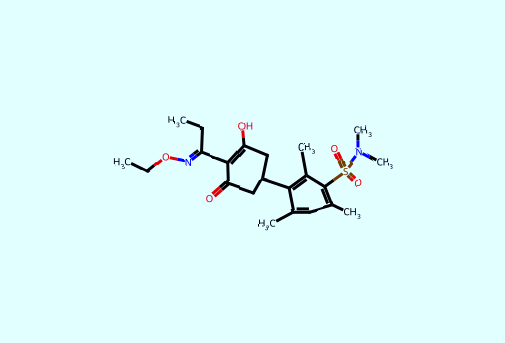 CCON=C(CC)C1=C(O)CC(c2c(C)cc(C)c(S(=O)(=O)N(C)C)c2C)CC1=O